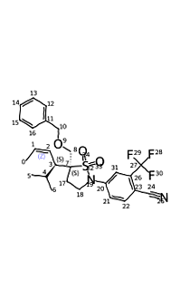 C/C=C\[C@H](C(C)C)[C@]1(COCc2ccccc2)CCN(c2ccc(C#N)c(C(F)(F)F)c2)S1(=O)=O